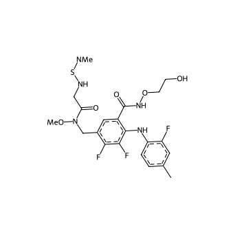 CNSNCC(=O)N(Cc1cc(C(=O)NOCCO)c(Nc2ccc(C)cc2F)c(F)c1F)OC